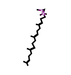 CC(C)=CCC/C(C)=C/CC/C(C)=C/CC/C(C)=C/CCP1(C)(C)CP1C